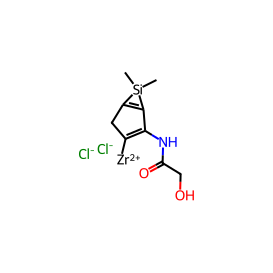 C[Si]1(C)C2=C1C(NC(=O)CO)=[C]([Zr+2])C2.[Cl-].[Cl-]